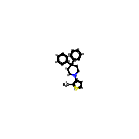 Cc1sccc1N1CCC(c2ccccc2)(c2ccccc2)CC1